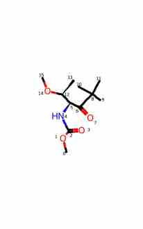 COC(=O)N[C@H](C(=O)C(C)(C)C)[C@H](C)OC